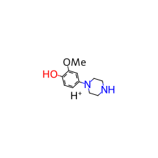 COc1cc(N2CCNCC2)ccc1O.[H+]